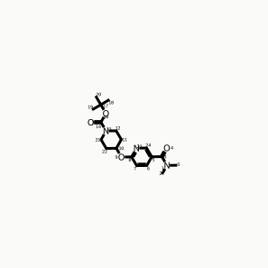 CN(C)C(=O)c1ccc(OC2CCN(C(=O)OC(C)(C)C)CC2)nc1